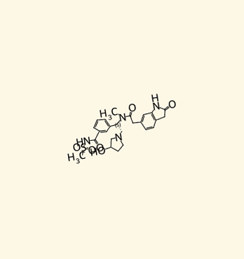 CN(C(=O)Cc1ccc2c(c1)NC(=O)C2)[C@H](CN1CCC(O)C1)c1cccc(C(=O)NS(C)(=O)=O)c1